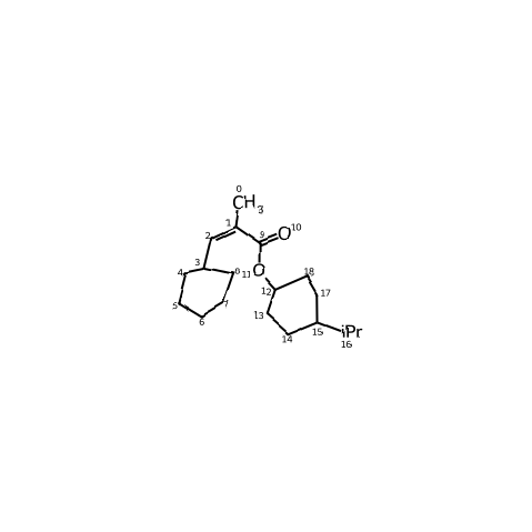 CC(=CC1CCCCC1)C(=O)OC1CCC(C(C)C)CC1